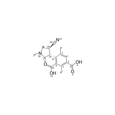 Cc1cc(C(=O)O)c(C)c(C(=O)O)c1[C@@H]1CN(C)C[C@H]1C#N